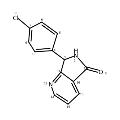 O=C1NC(c2ccc(Cl)cc2)c2ncccc21